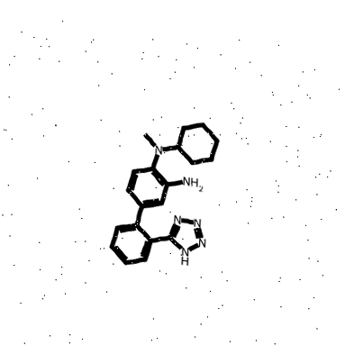 CN(c1ccc(-c2ccccc2-c2nnn[nH]2)cc1N)C1CCCCC1